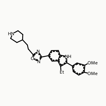 CCc1c(-c2ccc(OC)c(OC)c2)[nH]c2ccc(-c3noc(CCC4CCNCC4)n3)cc12